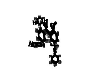 COc1ccc(C(C)(C)C#Cc2ccccc2)cc1CN[C@H]1CCCN[C@H]1c1ccccc1.Cl.Cl